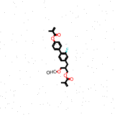 C=C(C)C(=O)OCC(COC=O)Cc1ccc(-c2ccc(OC(=O)C(=C)C)cc2)c(F)c1